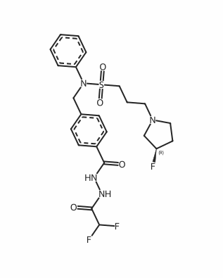 O=C(NNC(=O)C(F)F)c1ccc(CN(c2ccccc2)S(=O)(=O)CCCN2CC[C@@H](F)C2)cc1